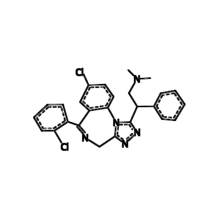 CN(C)CC(c1ccccc1)c1nnc2n1-c1ccc(Cl)cc1C(c1ccccc1Cl)=NC2